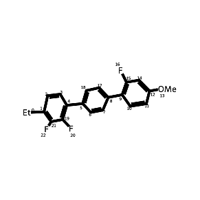 CCc1ccc(-c2ccc(-c3ccc(OC)cc3F)cc2)c(F)c1F